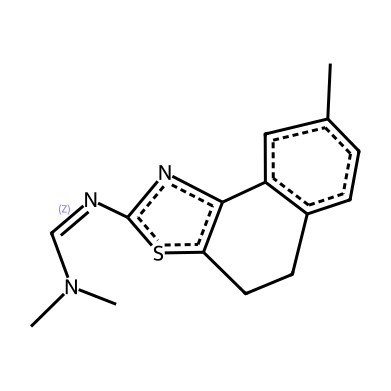 Cc1ccc2c(c1)-c1nc(/N=C\N(C)C)sc1CC2